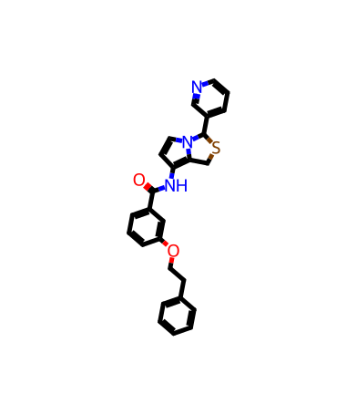 O=C(Nc1ccn2c1CSC2c1cccnc1)c1cccc(OCCc2ccccc2)c1